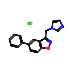 Cl.c1ccc(-c2ccc3onc(Cn4ccnc4)c3c2)cc1